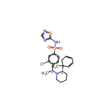 C[C@@H](c1ccc(S(=O)(=O)Nc2ncns2)cc1Cl)N1CCCC[C@@H]1C1(C)C=CC=CC1